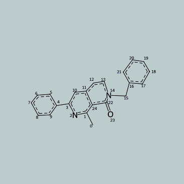 Cc1nc(-c2ccccc2)cc2ccn(Cc3ccccc3)c(=O)c12